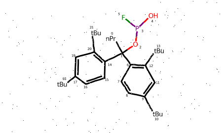 CCCC(OP(O)F)(c1ccc(C(C)(C)C)cc1C(C)(C)C)c1ccc(C(C)(C)C)cc1C(C)(C)C